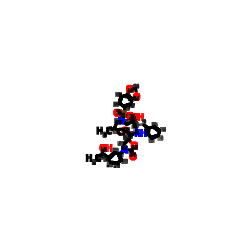 CC(C)CN(C[C@@H](O)[C@H](Cc1ccccc1)NC(=O)[C@@H]1CN(c2cccc(C(C)O)c2)C(=O)O1)S(=O)(=O)c1ccc2c(c1)OCO2